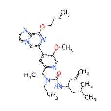 C=CCCOc1nc(-c2cc([C@@H](C)N(CC)C(=O)NC(CC=C)CC(C)C)ncc2OC)cn2ccnc12